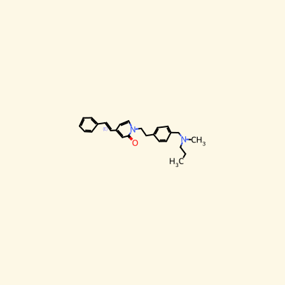 CCCN(C)Cc1ccc(CCn2ccc(/C=C/c3ccccc3)cc2=O)cc1